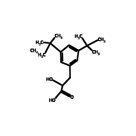 C.CC(C)(C)c1cc(CC(O)C(=O)O)cc(C(C)(C)C)c1